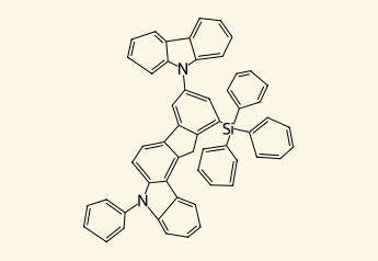 c1ccc(-n2c3ccccc3c3c4c(ccc32)-c2cc(-n3c5ccccc5c5ccccc53)cc([Si](c3ccccc3)(c3ccccc3)c3ccccc3)c2C4)cc1